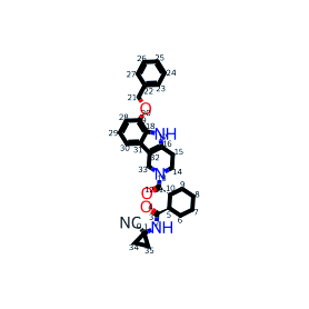 N#CC1(NC(=O)[C@@H]2CCCC[C@H]2C(=O)N2CCc3[nH]c4c(OCc5ccccc5)cccc4c3C2)CC1